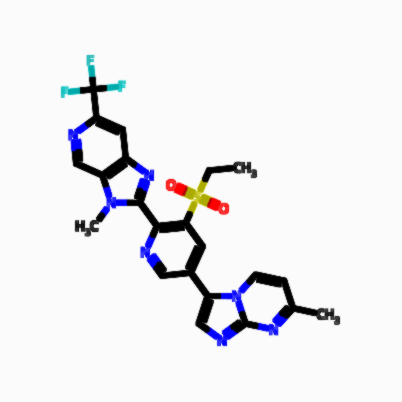 CCS(=O)(=O)c1cc(-c2cnc3nc(C)ccn23)cnc1-c1nc2cc(C(F)(F)F)ncc2n1C